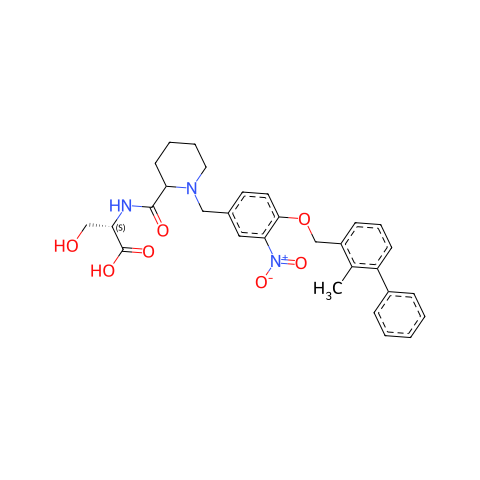 Cc1c(COc2ccc(CN3CCCCC3C(=O)N[C@@H](CO)C(=O)O)cc2[N+](=O)[O-])cccc1-c1ccccc1